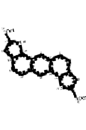 CCCCCCCCc1cc2ccc3cc4c(ccc5cc(CCCCCCCC)sc54)cc3c2s1